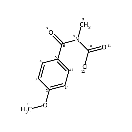 COc1ccc(C(=O)N(C)C(=O)Cl)cc1